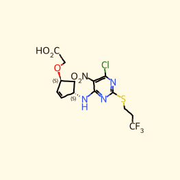 O=C(O)CO[C@@H]1C=C[C@@H](Nc2nc(SCCC(F)(F)F)nc(Cl)c2[N+](=O)[O-])C1